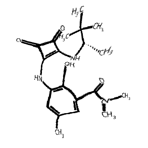 Cc1cc(Nc2c(N[C@@H](C)C(C)(C)C)c(=O)c2=O)c(O)c(C(=O)N(C)C)c1